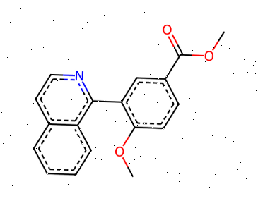 COC(=O)c1ccc(OC)c(-c2nccc3ccccc23)c1